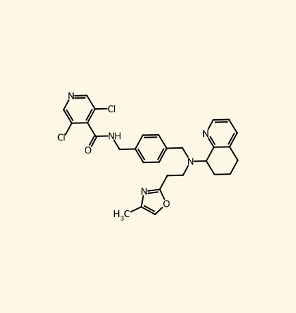 Cc1coc(CCN(Cc2ccc(CNC(=O)c3c(Cl)cncc3Cl)cc2)C2CCCc3cccnc32)n1